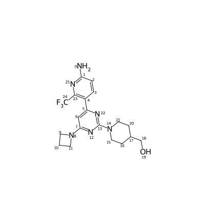 Nc1ccc(-c2cc(N3CCC3)nc(N3CCC(CO)CC3)n2)c(C(F)(F)F)n1